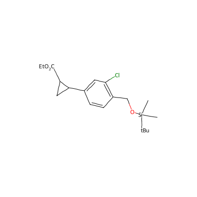 CCOC(=O)C1CC1c1ccc(CO[Si](C)(C)C(C)(C)C)c(Cl)c1